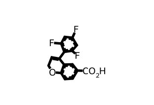 O=C(O)c1ccc2c(c1)C(c1c(F)cc(F)cc1F)=CCO2